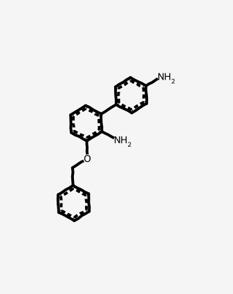 Nc1ccc(-c2cccc(OCc3ccccc3)c2N)cc1